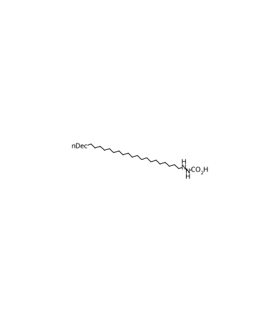 CCCCCCCCCCCCCCCCCCCCCCCCCCCCCCNNC(=O)O